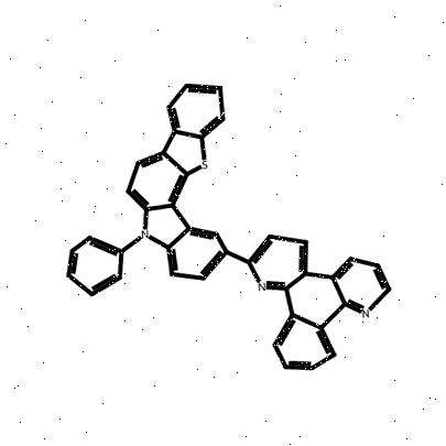 c1ccc(-n2c3ccc(-c4ccc5c6cccnc6c6ccccc6c5n4)cc3c3c4sc5ccccc5c4ccc32)cc1